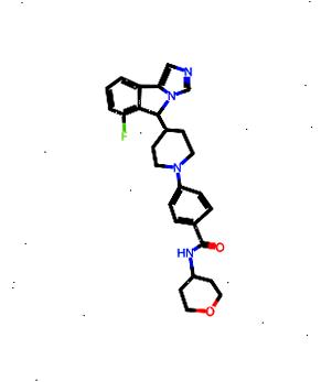 O=C(NC1CCOCC1)c1ccc(N2CCC(C3c4c(F)cccc4-c4cncn43)CC2)cc1